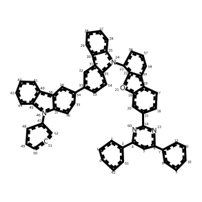 c1ccc(-c2cc(-c3ccccc3)nc(-c3ccc4c(c3)oc3c(-n5c6ccccc6c6cc(-c7ccc8c(c7)c7ccccc7n8-c7ccccc7)ccc65)cccc34)n2)cc1